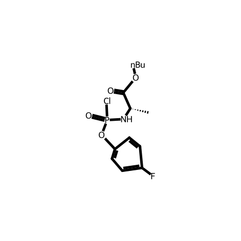 CCCCOC(=O)[C@H](C)NP(=O)(Cl)Oc1ccc(F)cc1